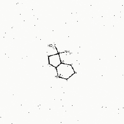 NC1(C(=O)O)CCC2NCCCC21